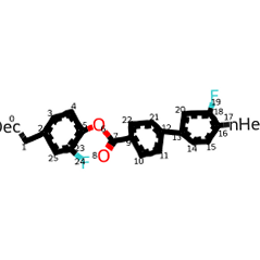 CCCCCCCCCCCc1ccc(OC(=O)c2ccc(-c3ccc(CCCCCCC)c(F)c3)cc2)c(F)c1